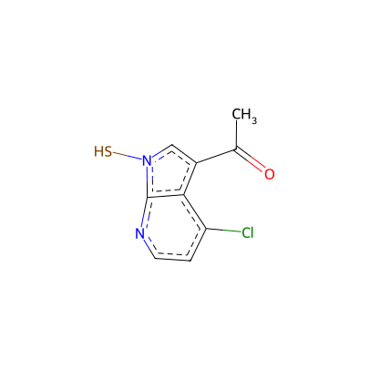 CC(=O)c1cn(S)c2nccc(Cl)c12